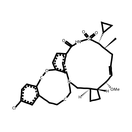 CO[C@H]1/C=C/C[C@H](C)[C@@H](C2CC2)S(=O)(=O)NC(=O)c2ccc3c(c2)N(CCCCc2cc(Cl)ccc2CO3)C[C@@H]2CC[C@H]21